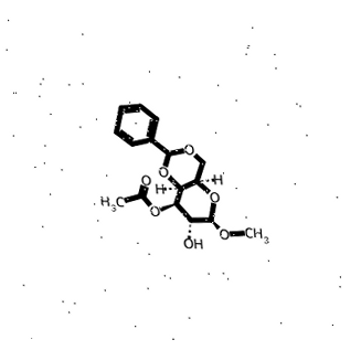 CO[C@@H]1O[C@@H]2COC(c3ccccc3)O[C@@H]2[C@H](OC(C)=O)[C@H]1O